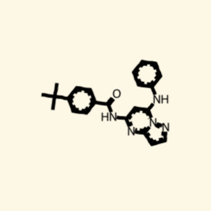 CC(C)(C)c1ccc(C(=O)Nc2cc(Nc3ccccc3)n3nccc3n2)cc1